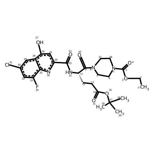 CCOC(=O)N1CCN(C(=O)[C@H](CCC(=O)OC(C)(C)C)NC(=O)c2cc(O)c3cc(Cl)cc(F)c3n2)CC1